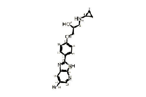 OC(CNC1CC1)COc1ccc(-c2nc3cc(Br)cnc3[nH]2)cc1